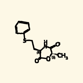 C[C@@H]1OC(=O)[C@@H](CCSc2ccccc2)NC1=O